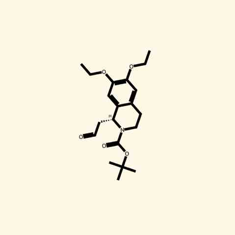 CCOc1cc2c(cc1OCC)[C@@H](CC=O)N(C(=O)OC(C)(C)C)CC2